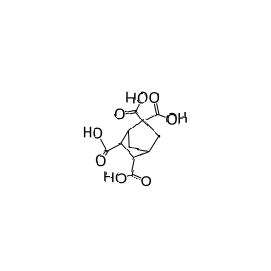 O=C(O)C1C2CC(C1C(=O)O)C(C(=O)O)(C(=O)O)C2